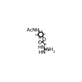 CC(=O)Nc1ccc(OC(=O)CNC(=N)N)cc1